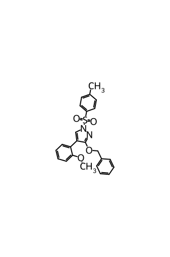 COc1ccccc1-c1cn(S(=O)(=O)c2ccc(C)cc2)nc1OCc1ccccc1